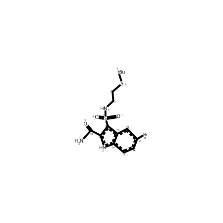 CC(C)(C)SCCNS(=O)(=O)c1c(C(N)=O)[nH]c2ccc(Br)cc12